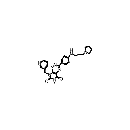 Cn1c(=O)c2nc(-c3ccc(NCCCN4CCCC4)cc3)nnc2n(Cc2cccnc2)c1=O